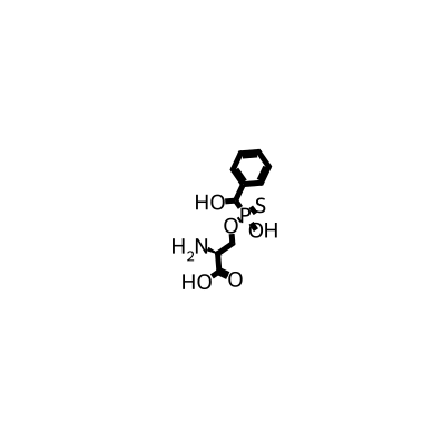 N[C@@H](COP(O)(=S)C(O)c1ccccc1)C(=O)O